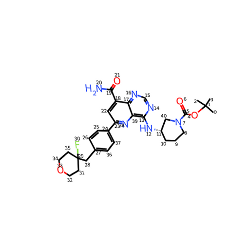 CC(C)(C)OC(=O)N1CCC[C@H](Nc2ncnc3c(C(N)=O)cc(-c4ccc(CC5(F)CCOCC5)cc4)nc23)C1